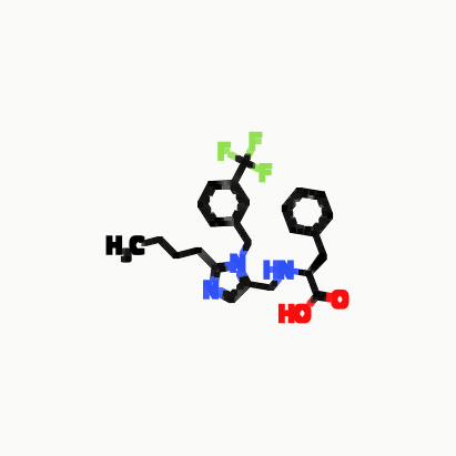 CCCCc1ncc(CN[C@@H](Cc2ccccc2)C(=O)O)n1Cc1cccc(C(F)(F)F)c1